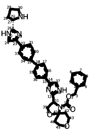 O=C(OCc1ccccc1)N1C(c2nc(-c3ccc(-c4ccc(-c5c[nH]c([C@@H]6CCCN6)n5)cc4)cc3)c[nH]2)COC12CCOCC2